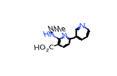 CNNc1nc(-c2cccnc2)ccc1C(=O)O